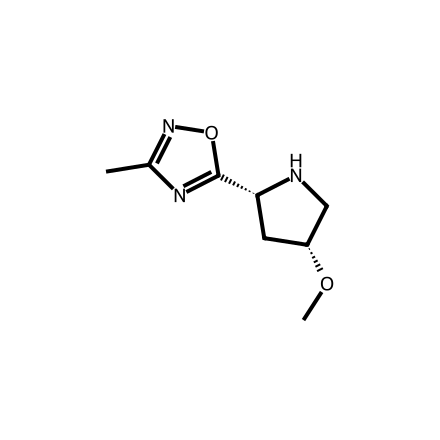 CO[C@H]1CN[C@@H](c2nc(C)no2)C1